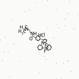 CN(C)CCNC(=O)c1ccc(-c2ccc(-c3ccccc3)n2-c2ccccc2C(F)(F)F)cc1.Cl